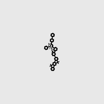 CC1(C)c2ccccc2-c2cc3c(cc21)-c1cc(-c2ccc4sc5c(-c6cc(-c7ccc(-c8ccccc8)cc7)nc(-c7ccccc7)n6)cccc5c4c2)ccc1C3(C)C